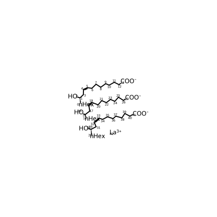 CCCCCC[C@@H](O)C/C=C\CCCCCCCC(=O)[O-].CCCCCC[C@@H](O)C/C=C\CCCCCCCC(=O)[O-].CCCCCC[C@@H](O)C/C=C\CCCCCCCC(=O)[O-].[La+3]